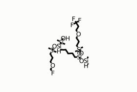 C[SiH](C)O[SiH](CCCCC[SiH](O[Si](C)(C)CCCOCF)[Si](C)(C)O)O[Si](C)(C)CCCOCCC(F)(F)F